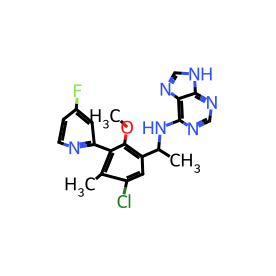 COc1c(C(C)Nc2ncnc3[nH]cnc23)cc(Cl)c(C)c1-c1cc(F)ccn1